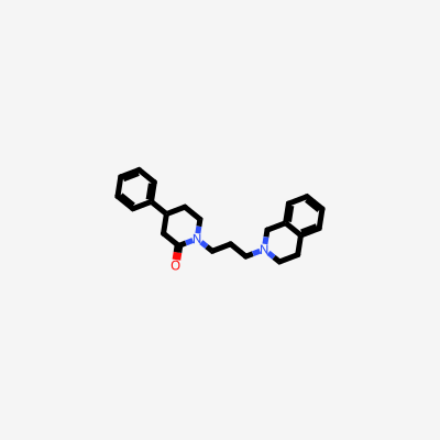 O=C1CC(c2ccccc2)CCN1CCCN1CCc2ccccc2C1